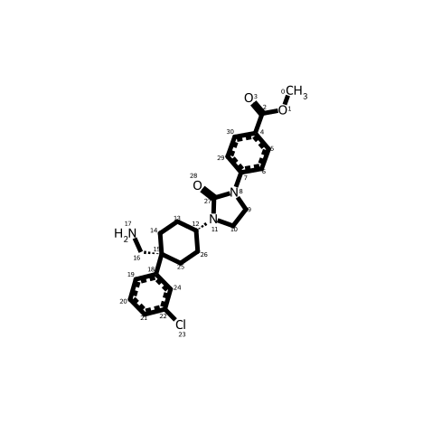 COC(=O)c1ccc(N2CCN([C@H]3CC[C@](CN)(c4cccc(Cl)c4)CC3)C2=O)cc1